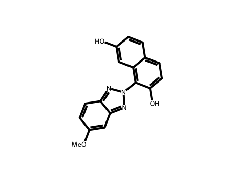 COc1ccc2nn(-c3c(O)ccc4ccc(O)cc34)nc2c1